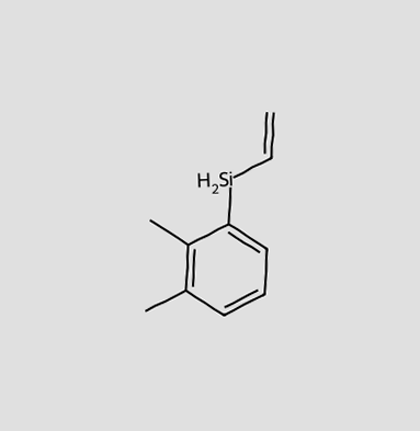 C=C[SiH2]c1cccc(C)c1C